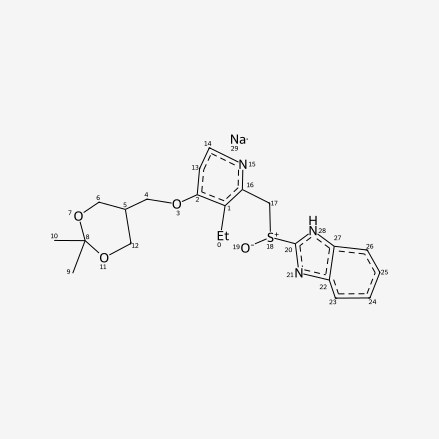 CCc1c(OCC2COC(C)(C)OC2)ccnc1C[S+]([O-])c1nc2ccccc2[nH]1.[Na]